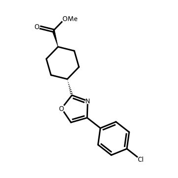 COC(=O)[C@H]1CC[C@H](c2nc(-c3ccc(Cl)cc3)co2)CC1